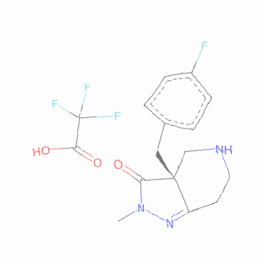 CN1N=C2CCNC[C@@]2(Cc2ccc(F)cc2)C1=O.O=C(O)C(F)(F)F